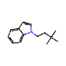 CC(C)(C)CCn1ccc2ccccc21